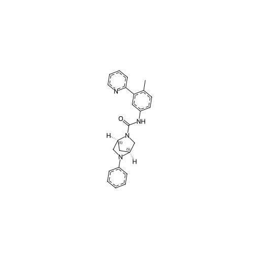 Cc1ccc(NC(=O)N2C[C@@H]3C[C@H]2CN3c2ccccc2)cc1-c1ccccn1